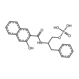 O=C(NC(COP(=O)(O)O)Cc1ccccc1)c1cc2ccccc2cc1O